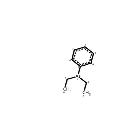 CC[As](CC)c1ccccc1